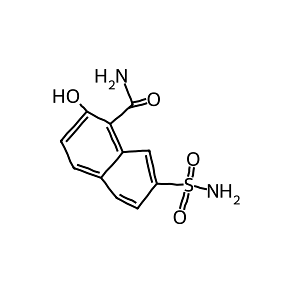 NC(=O)c1c(O)ccc2ccc(S(N)(=O)=O)cc12